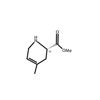 COC(=O)[C@@H]1CC(C)=CCN1